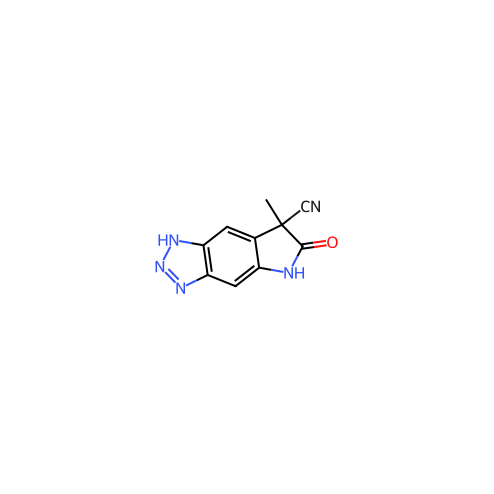 CC1(C#N)C(=O)Nc2cc3nn[nH]c3cc21